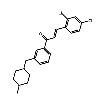 CN1CCN(Cc2cccc(C(=O)C=Cc3ccc(Cl)cc3Cl)c2)CC1